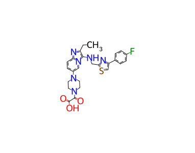 CCc1nc2ccc(N3CCN(C(=O)C(=O)O)CC3)cn2c1NCc1nc(-c2ccc(F)cc2)cs1